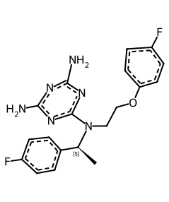 C[C@@H](c1ccc(F)cc1)N(CCOc1ccc(F)cc1)c1nc(N)nc(N)n1